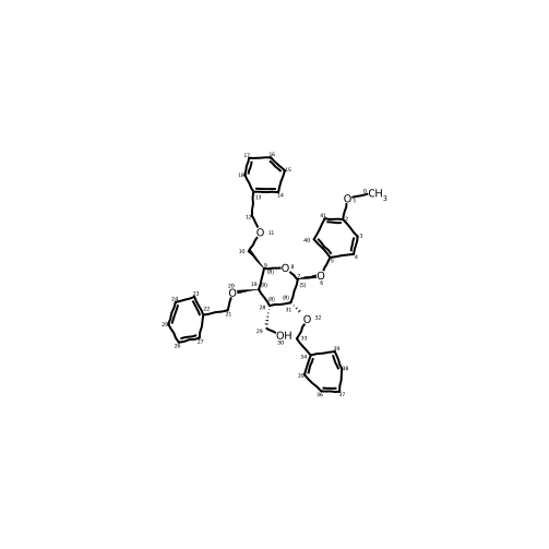 COc1ccc(O[C@@H]2O[C@H](COCc3ccccc3)[C@H](OCc3ccccc3)[C@@H](CO)[C@H]2OCc2ccccc2)cc1